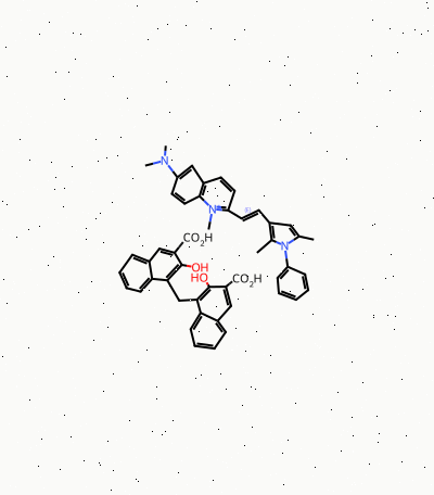 Cc1cc(/C=C/c2ccc3cc(N(C)C)ccc3[n+]2C)c(C)n1-c1ccccc1.O=C(O)c1cc2ccccc2c(Cc2c(O)c(C(=O)O)cc3ccccc23)c1O